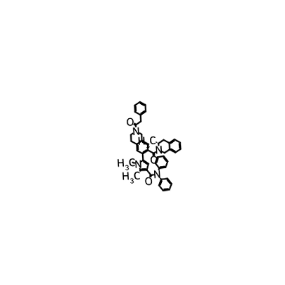 Cc1c(C(=O)N(c2ccccc2)c2ccccc2)cc(-c2cc3c(cc2C(=O)N2Cc4ccccc4C[C@H]2C)CN(C(=O)Cc2ccccc2)CC3)n1C